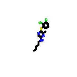 CCCCCNc1cnc(Sc2cccc(Cl)c2Cl)c(C)n1